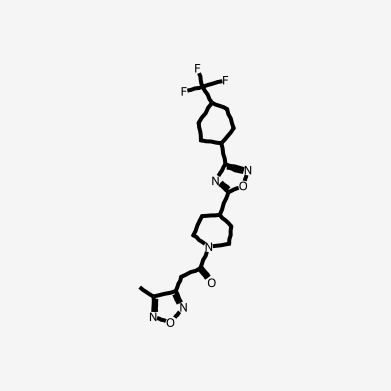 Cc1nonc1CC(=O)N1CCC(c2nc(C3CCC(C(F)(F)F)CC3)no2)CC1